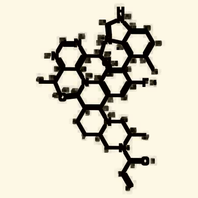 C=CC(=O)N1CC2CCc3c(c4cc(F)c(-c5c(C)ccc6[nH]cnc56)c(Cl)c4n(-c4c(C(C)C)ncnc4C(C)C)c3=O)N2CC1C